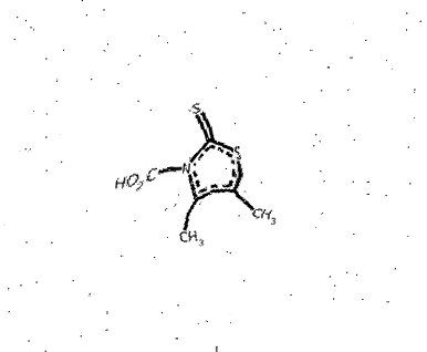 Cc1sc(=S)n(C(=O)O)c1C